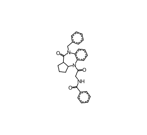 O=C(NCC(=O)N1c2ccccc2N(Cc2ccccc2)C(=O)C2CCCC21)c1ccccc1